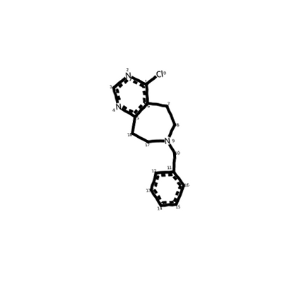 Clc1ncnc2c1CCN(Cc1ccccc1)CC2